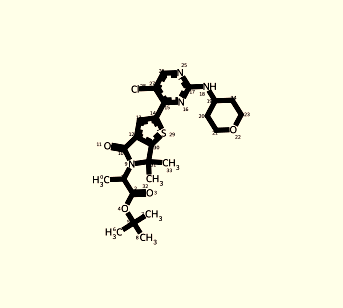 CC(C(=O)OC(C)(C)C)N1C(=O)c2cc(-c3nc(NC4CCOCC4)ncc3Cl)sc2C1(C)C